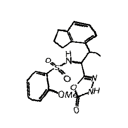 COc1ccccc1S(=O)(=O)NC(c1n[nH]c(=O)o1)C(C)c1cccc2c1CCC2